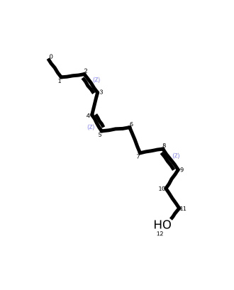 CC/C=C\C=C/CC/C=C\CCO